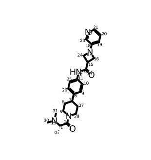 C[C@@H](C(=O)N1CCC(c2ccc(NC(=O)C3CN(c4cccnc4)C3)cc2)CC1)N(C)C